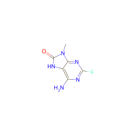 Cn1c(=O)[nH]c2c(N)nc(F)nc21